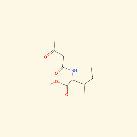 CCC(C)C(NC(=O)CC(C)=O)C(=O)OC